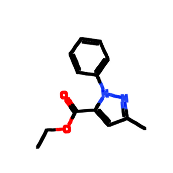 CCOC(=O)c1cc(C)nn1-c1ccccc1